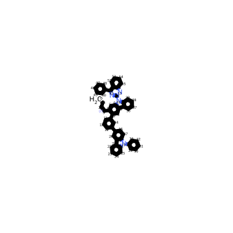 C=C/C=C\c1cc2c(cc1-c1cccc(-c3ccc4c(c3)c3ccccc3n4-c3ccccc3)c1)c1ccccc1n2-c1nc(-c2ccccc2)c2ccccc2n1